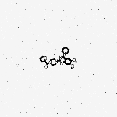 COc1cc2nc(N3CCN(C(=O)C4CCCO4)CC3)nc(N3CCCCC3)c2cc1OC